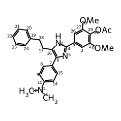 COc1cc(-c2nc(-c3ccc(N(C)C)cc3)c(CCc3ccccc3)[nH]2)cc(OC)c1OC(C)=O